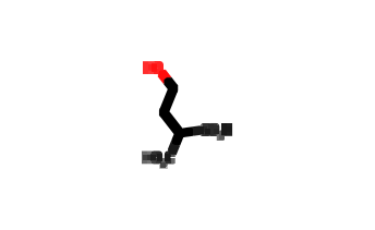 O=C(O)C(CCO)S(=O)(=O)O